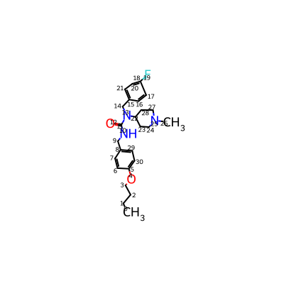 CCCCOc1ccc(CNC(=O)N(Cc2ccc(F)cc2)C2CCN(C)CC2)cc1